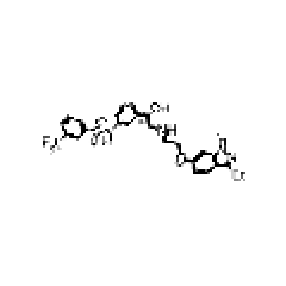 CCc1n[nH]c2cc(OCCNC[C@H](O)c3cccc(NS(=O)(=O)c4cccc(C(F)(F)F)c4)c3)ccc12